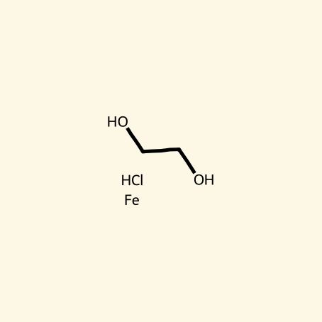 Cl.OCCO.[Fe]